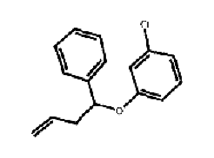 C=CCC(Oc1cccc(Cl)c1)c1ccccc1